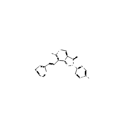 Cc1[nH]cc2c(=O)n(-c3ccc(Cl)cc3)nc-2c1C=Cc1ccccn1